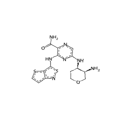 NC(=O)c1ncc(N[C@@H]2CCOC[C@@H]2N)nc1Nc1snc2ccsc12